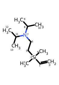 C=C[Si](C)(C)CCN(C(C)C)C(C)C